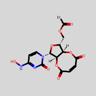 CCC(=O)OC[C@H]1O[C@@H](n2ccc(NO)nc2=O)[C@@H]2OC(=O)/C=C\C(=O)O[C@@H]21